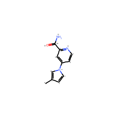 Cc1ccn(-c2ccnc(C(N)=O)c2)c1